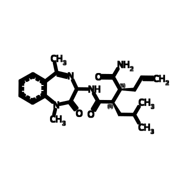 C=CC[C@H](C(N)=O)[C@@H](CC(C)C)C(=O)NC1N=C(C)c2ccccc2N(C)C1=O